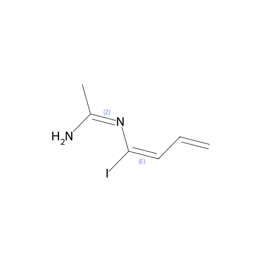 C=C/C=C(I)\N=C(\C)N